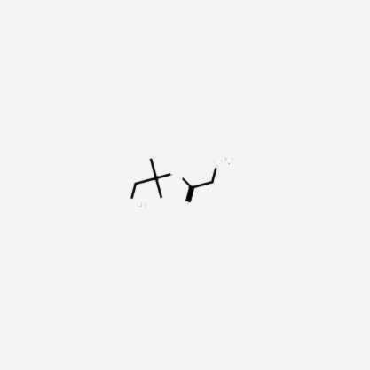 COCC(=O)OC(C)(C)CC(C)(C)C